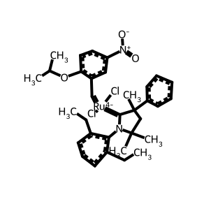 CCc1cccc(CC)c1N1[C](=[Ru-4]([Cl])([Cl])=[CH]c2cc([N+](=O)[O-])ccc2OC(C)C)C(C)(c2ccccc2)CC1(C)C